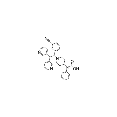 N#Cc1cccc(C(C(c2cccnc2)c2cccnc2)N2CCC(N(C(=O)O)c3ccccc3)CC2)c1